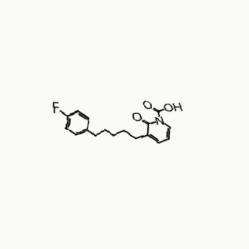 O=C(O)n1cccc(CCCCCc2ccc(F)cc2)c1=O